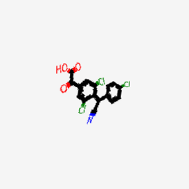 N#CC(c1ccc(Cl)cc1)c1c(Cl)cc(C(=O)C(=O)O)cc1Cl